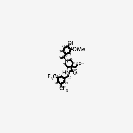 COc1cc(C(C)N2CCC(CC(C)C)(C(=O)NCc3cc(C(F)(F)F)cc(C(F)(F)F)c3)CC2)ccc1O